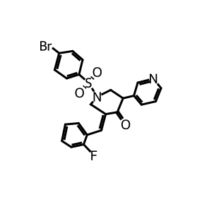 O=C1C(=Cc2ccccc2F)CN(S(=O)(=O)c2ccc(Br)cc2)CC1c1cccnc1